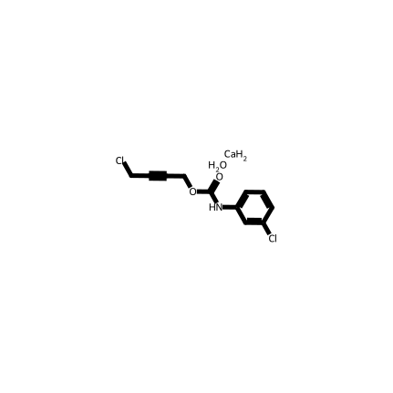 O.O=C(Nc1cccc(Cl)c1)OCC#CCCl.[CaH2]